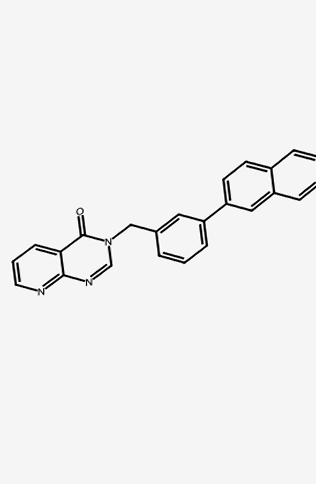 O=c1c2cccnc2ncn1Cc1cccc(-c2ccc3ccncc3c2)c1